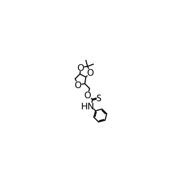 CC1(C)OC2COC(COC(=S)Nc3ccccc3)C2O1